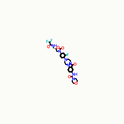 O=C(NC[C@H]1CN(c2ccc(N3CCn4c(=O)c5cc(NC(=O)N6CCOCC6)ccc5n4CC3)c(F)c2)C(=O)O1)C(F)F